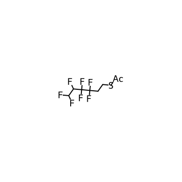 CC(=O)SCCC(F)(F)C(F)(F)C(F)C(F)F